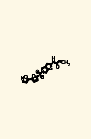 C=CC(=O)NC1CC2CN(S(=O)(=O)c3ccc(-c4ccno4)o3)CC2S1